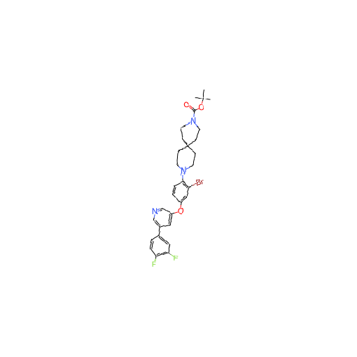 CC(C)(C)OC(=O)N1CCC2(CC1)CCN(c1ccc(Oc3cncc(-c4ccc(F)c(F)c4)c3)cc1Br)CC2